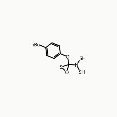 CCCCc1ccc(OC2(N(S)S)OS2)cc1